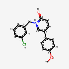 COc1ccc(-c2ccc(=O)n(Cc3cccc(Cl)c3)c2)cc1